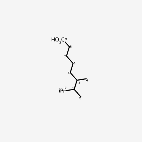 CC(C)C(C)C(C)CCCCC(=O)O